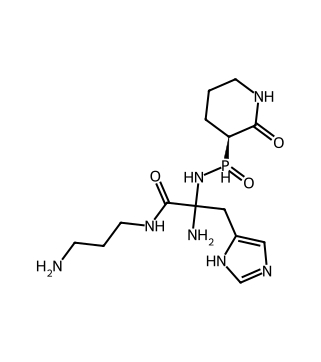 NCCCNC(=O)C(N)(Cc1cnc[nH]1)N[PH](=O)[C@H]1CCCNC1=O